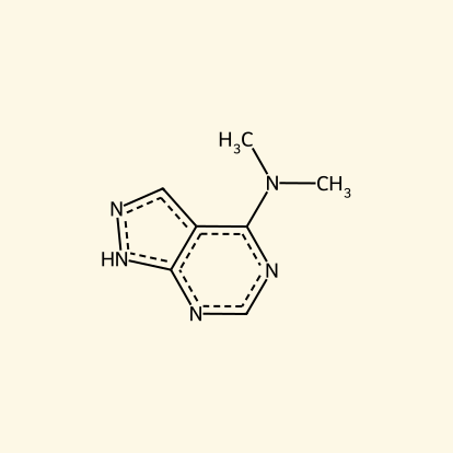 CN(C)c1ncnc2[nH]ncc12